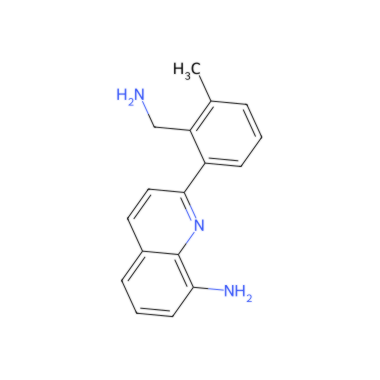 Cc1cccc(-c2ccc3cccc(N)c3n2)c1CN